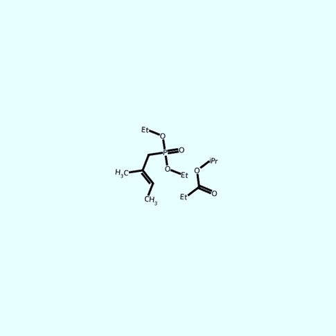 CC=C(C)CP(=O)(OCC)OCC.CCC(=O)OC(C)C